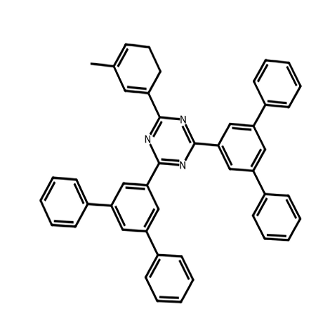 CC1=CCCC(c2nc(-c3cc(-c4ccccc4)cc(-c4ccccc4)c3)nc(-c3cc(-c4ccccc4)cc(-c4ccccc4)c3)n2)=C1